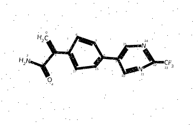 C=C(C(N)=O)c1ccc(-c2cnc(C(F)(F)F)nc2)cc1